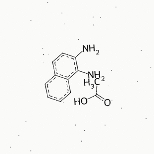 CC(=O)O.Nc1ccc2ccccc2c1N